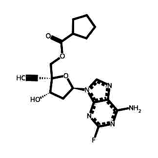 C#C[C@]1(COC(=O)C2CCCC2)O[C@@H](n2cnc3c(N)nc(F)nc32)C[C@@H]1O